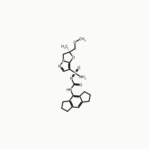 COC[C@]1(C)Cn2ncc(S(N)(=O)=NC(=O)Nc3c4c(cc5c3CCC5)CCC4)c2O1